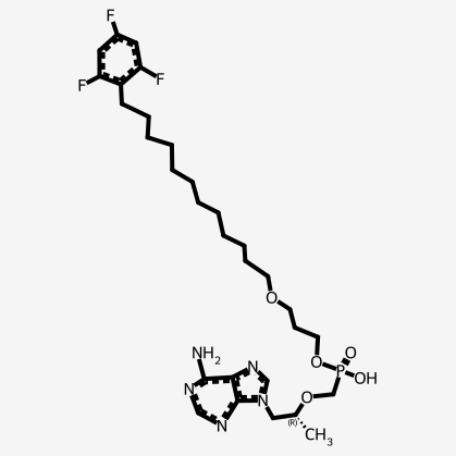 C[C@H](Cn1cnc2c(N)ncnc21)OCP(=O)(O)OCCCOCCCCCCCCCCCCc1c(F)cc(F)cc1F